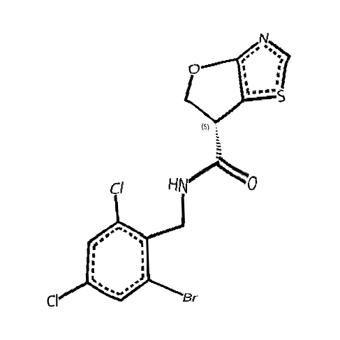 O=C(NCc1c(Cl)cc(Cl)cc1Br)[C@@H]1COc2ncsc21